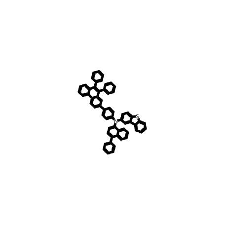 c1ccc(-c2ccc(N(c3ccc(-c4ccc5c(c4)c(-c4ccccc4)c(-c4ccccc4)c4ccccc45)cc3)c3ccc4sc5ccccc5c4c3)c3ccccc23)cc1